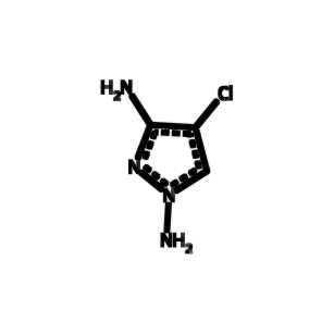 Nc1nn(N)cc1Cl